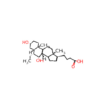 CC[C@H]1[C@@H](O)[C@H]2C3CC[C@H](CCCC(=O)O)[C@@]3(C)CCC2[C@@]2(C)CC[C@@H](O)C[C@@H]12